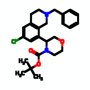 CC(C)(C)OC(=O)N1CCOCC1c1cc(Cl)cc2c1CN(Cc1ccccc1)CC2